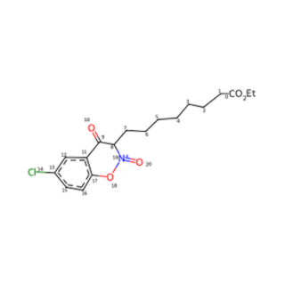 CCOC(=O)CCCCCCCC1C(=O)c2cc(Cl)ccc2O[N+]1=O